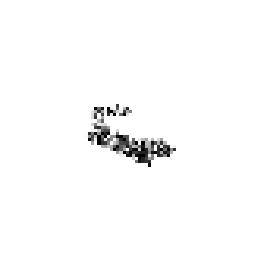 COCCCn1cc(Cn2nc(-c3nc(-c4ccc(OC(C)(C)F)cc4)no3)nc2C)ccc1=O